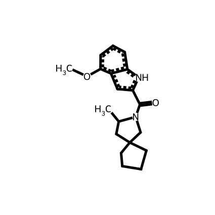 COc1cccc2[nH]c(C(=O)N3CC4(CCCC4)CC3C)cc12